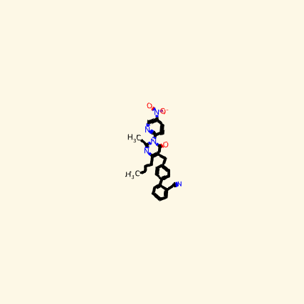 CCCCc1nc(C)n(-c2ccc([N+](=O)[O-])cn2)c(=O)c1Cc1ccc(-c2ccccc2C#N)cc1